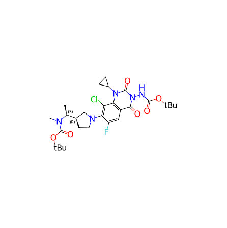 C[C@@H]([C@@H]1CCN(c2c(F)cc3c(=O)n(NC(=O)OC(C)(C)C)c(=O)n(C4CC4)c3c2Cl)C1)N(C)C(=O)OC(C)(C)C